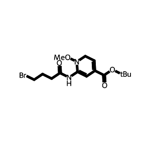 CON1CC=C(C(=O)OC(C)(C)C)C=C1NC(=O)CCCBr